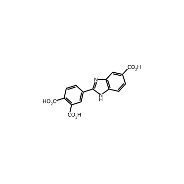 O=C(O)c1ccc2[nH]c(-c3ccc(C(=O)O)c(C(=O)O)c3)nc2c1